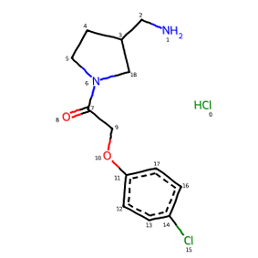 Cl.NCC1CCN(C(=O)COc2ccc(Cl)cc2)C1